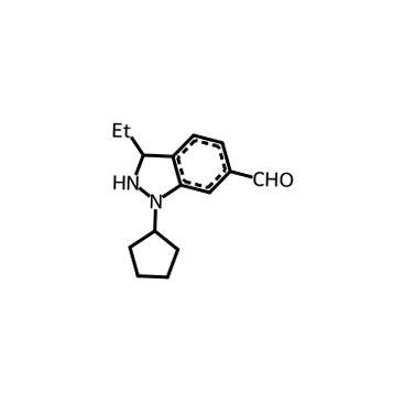 CCC1NN(C2CCCC2)c2cc(C=O)ccc21